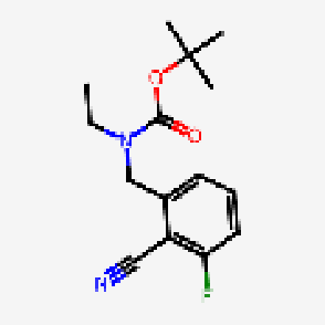 CCN(Cc1cccc(F)c1C#N)C(=O)OC(C)(C)C